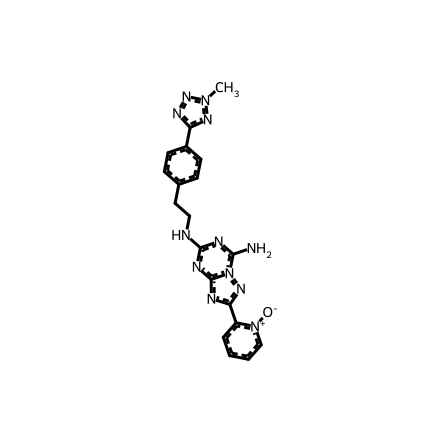 Cn1nnc(-c2ccc(CCNc3nc(N)n4nc(-c5cccc[n+]5[O-])nc4n3)cc2)n1